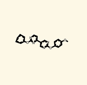 COc1ccc(Oc2n[c]c(-c3ccnc(Oc4ccccc4)n3)cn2)cc1